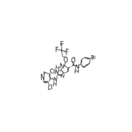 O=C(Nc1ccc(Br)cc1)c1cc2nc(Nc3c(Cl)cncc3Cl)[nH]c2nc1OCC(F)(F)F